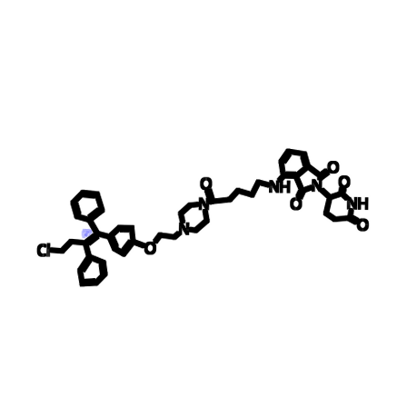 O=C1CCC(N2C(=O)c3cccc(NCCCCC(=O)N4CCN(CCOc5ccc(/C(=C(/CCCl)c6ccccc6)c6ccccc6)cc5)CC4)c3C2=O)C(=O)N1